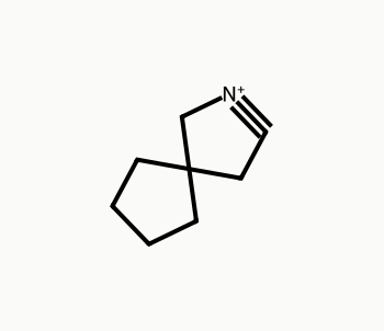 C1#[N+]CC2(C1)CCCC2